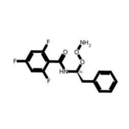 NOO[C@@H](Cc1ccccc1)NC(=O)c1c(F)cc(F)cc1F